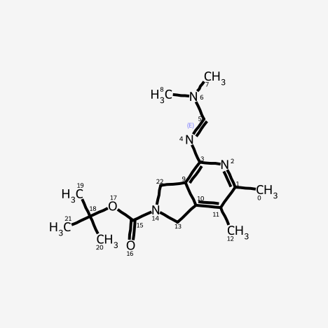 Cc1nc(/N=C/N(C)C)c2c(c1C)CN(C(=O)OC(C)(C)C)C2